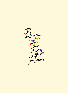 COc1ccc(CN(c2nccs2)S(=O)(=O)c2cc(C)c3c(-c4ccc(C(F)(F)F)cc4OC)ccnc3c2)cc1